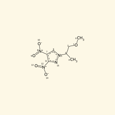 COCC(C)n1cc([N+](=O)[O-])c([N+](=O)[O-])n1